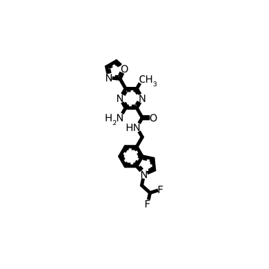 Cc1nc(C(=O)NCc2cccc3c2ccn3CC(F)F)c(N)nc1-c1ncco1